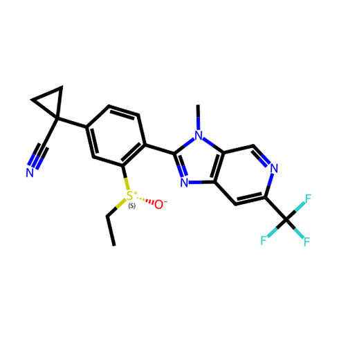 CC[S@@+]([O-])c1cc(C2(C#N)CC2)ccc1-c1nc2cc(C(F)(F)F)ncc2n1C